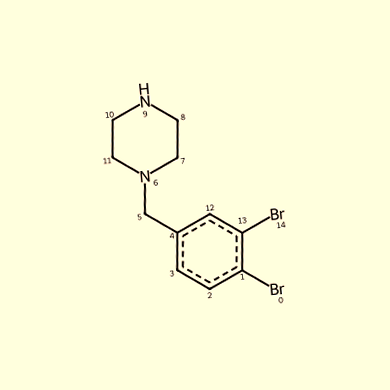 Brc1ccc(CN2CCNCC2)cc1Br